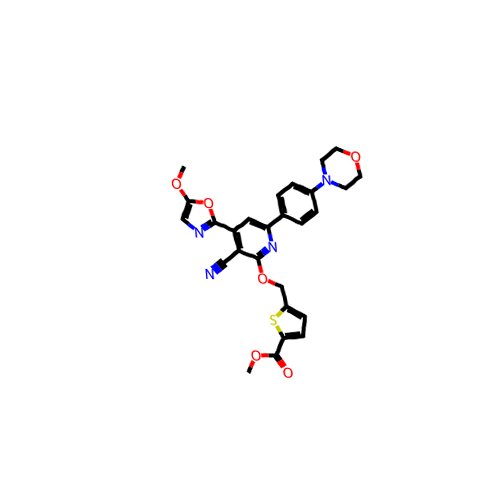 COC(=O)c1ccc(COc2nc(-c3ccc(N4CCOCC4)cc3)cc(-c3ncc(OC)o3)c2C#N)s1